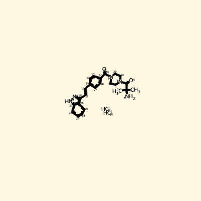 CC(C)(N)C(=O)N1CCN(C(=O)c2ccc(C=Cc3n[nH]c4ccccc34)cc2)CC1.Cl.Cl